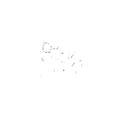 CC(=NOCC(F)(F)F)c1cc(N)c(O)c2c1C[C@H]1C[C@H]3[C@H](N(C)C)C(O)=C(C(N)=O)C(=O)[C@@]3(O)C(O)=C1C2=O